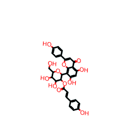 O=C(/C=C/c1ccc(O)cc1)OC1C(c2c(O)cc(O)c3c(=O)cc(-c4ccc(O)cc4)oc23)OC(CO)C(O)C1O